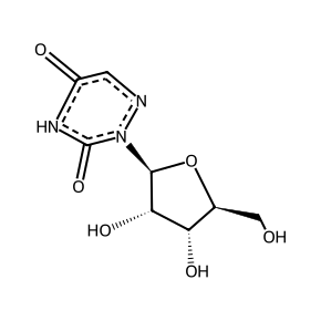 O=c1cnn([C@H]2O[C@@H](CO)[C@H](O)[C@@H]2O)c(=O)[nH]1